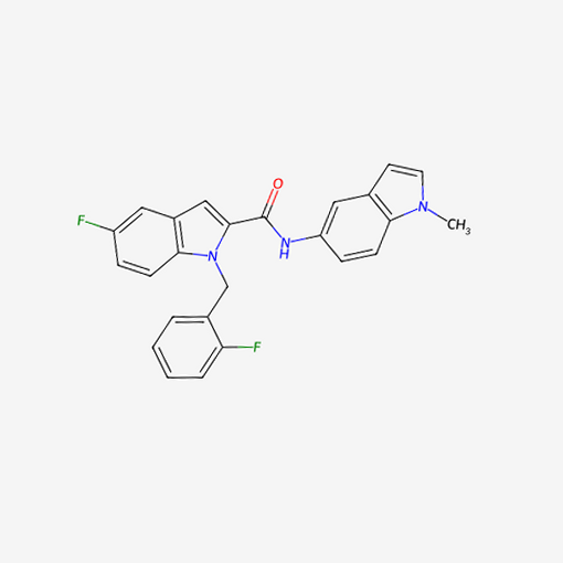 Cn1ccc2cc(NC(=O)c3cc4cc(F)ccc4n3Cc3ccccc3F)ccc21